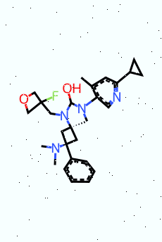 Cc1cc(C2CC2)ncc1N1C[C@]2(C[C@](c3ccccc3)(N(C)C)C2)N(CC2(F)COC2)C1O